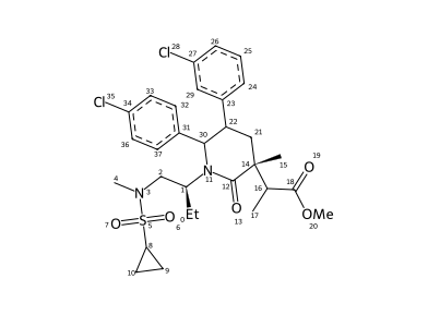 CC[C@@H](CN(C)S(=O)(=O)C1CC1)N1C(=O)[C@@](C)(C(C)C(=O)OC)CC(c2cccc(Cl)c2)C1c1ccc(Cl)cc1